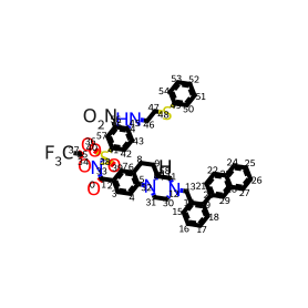 O=C(c1ccc2c(c1)CC[C@@H]1CN(Cc3ccccc3-c3ccc4ccccc4c3)CCN21)N(OC(=O)C(F)(F)F)S(=O)(=O)c1ccc(NCCSc2ccccc2)c([N+](=O)[O-])c1